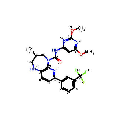 COc1cc(NC(=O)N2C[C@H](C)CNc3ccc(-c4cccc(C(F)(F)F)c4)nc32)nc(OC)n1